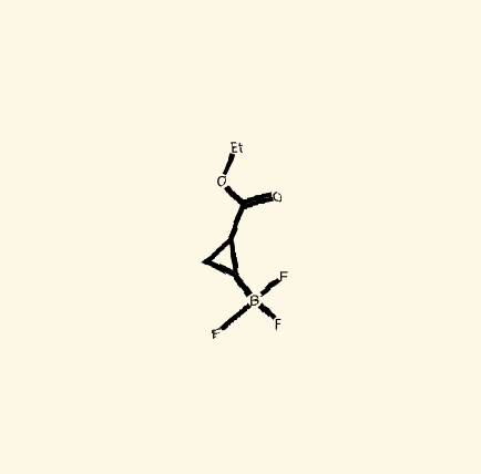 CCOC(=O)C1CC1[B-](F)(F)F